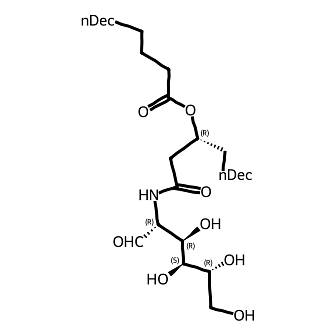 CCCCCCCCCCCCCC(=O)O[C@H](CCCCCCCCCCC)CC(=O)N[C@@H](C=O)[C@@H](O)[C@H](O)[C@H](O)CO